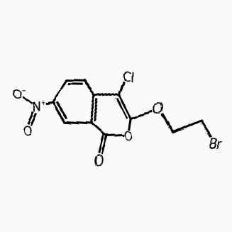 O=c1oc(OCCBr)c(Cl)c2ccc([N+](=O)[O-])cc12